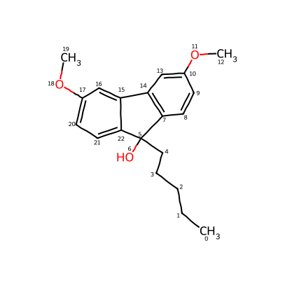 CCCCCC1(O)c2ccc(OC)cc2-c2cc(OC)ccc21